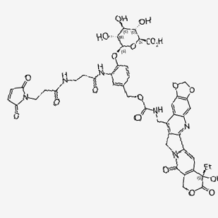 CC[C@@]1(O)C(=O)OCc2c1cc1n(c2=O)Cc2c-1nc1cc3c(cc1c2CNC(=O)OCc1ccc(O[C@@H]2O[C@H](C(=O)O)[C@@H](O)[C@H](O)[C@H]2O)c(NC(=O)CCNC(=O)CCN2C(=O)C=CC2=O)c1)OCO3